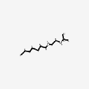 CCCCCCCOCCOC(C)C